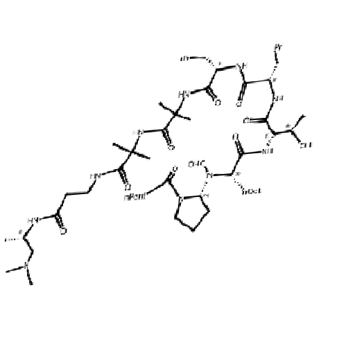 CCCCCCCC[C@@H](C(=O)N[C@H](C(=O)N[C@@H](CC(C)C)C(=O)N[C@@H](CC(C)C)C(=O)NC(C)(C)C(=O)NC(C)(C)C(=O)NCCC(=O)N[C@@H](C)CN(C)C)[C@@H](C)O)N(C=O)[C@@H]1CCCN1C(=O)CCCCC